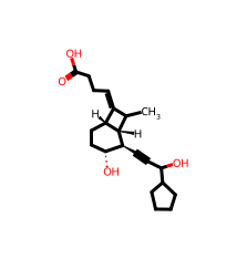 CC1/C(=C/CCC(=O)O)[C@H]2CC[C@@H](O)[C@H](C#CC(O)C3CCCC3)[C@@H]12